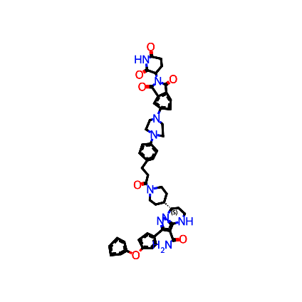 NC(=O)c1c(-c2ccc(Oc3ccccc3)cc2)nn2c1NCC[C@H]2C1CCN(C(=O)CCc2ccc(N3CCN(c4ccc5c(c4)C(=O)N(C4CCC(=O)NC4=O)C5=O)CC3)cc2)CC1